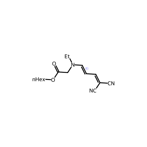 CCCCCCOC(=O)CN(/C=C/C=C(C#N)C#N)CC